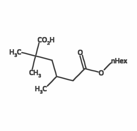 CCCCCCOC(=O)CC(C)CC(C)(C)C(=O)O